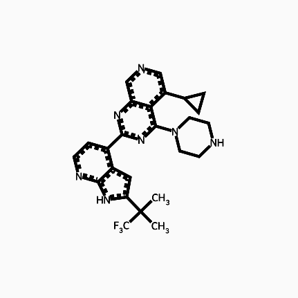 CC(C)(c1cc2c(-c3nc(N4CCNCC4)c4c(C5CC5)cncc4n3)ccnc2[nH]1)C(F)(F)F